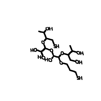 CC(O)C(CS)OC(O[C@H](O)C(OCCCS)OC(CO)C(C)O)C(O)O